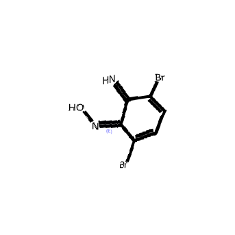 N=C1C(Br)=CC=C(Br)/C1=N/O